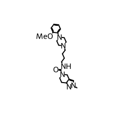 COc1ccccc1N1CCN(CCCCNC(=O)N2CCc3nn(C)cc3C2)CC1